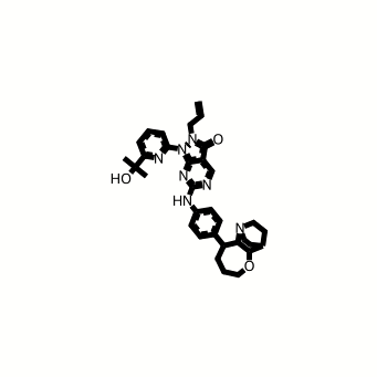 C=CCn1c(=O)c2cnc(Nc3ccc(C4CCCOC5C6CCN(CC6)C45)cc3)nc2n1-c1cccc(C(C)(C)O)n1